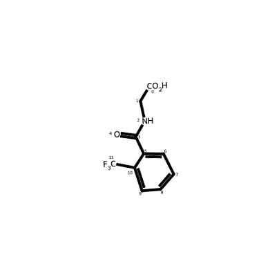 O=C(O)CNC(=O)c1ccccc1C(F)(F)F